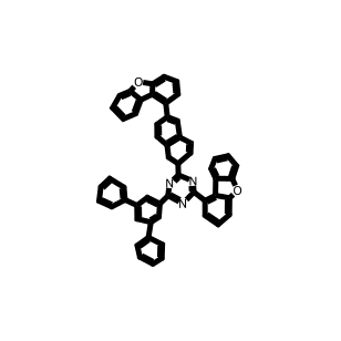 C1=CC(c2nc(-c3cc(-c4ccccc4)cc(-c4ccccc4)c3)nc(-c3cccc4oc5ccccc5c34)n2)Cc2ccc(-c3cccc4oc5ccccc5c34)cc21